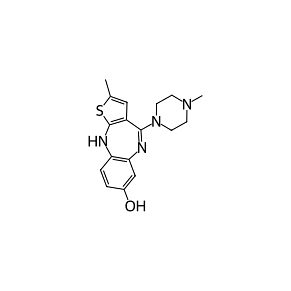 Cc1cc2c(s1)Nc1ccc(O)cc1N=C2N1CCN(C)CC1